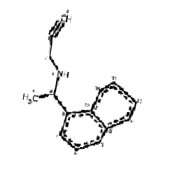 C#CCN[C@H](C)c1cccc2ccccc12